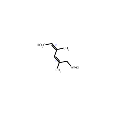 CCCCCCC/C(C)=C\C(C)=C/C(=O)O